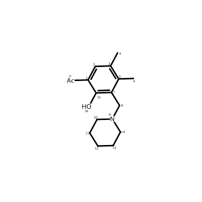 CC(=O)c1cc(C)c(C)c(CN2CCCCC2)c1O